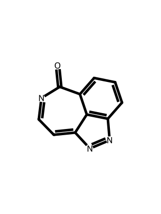 O=c1nccc2c3c(cccc13)N=N2